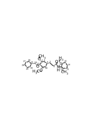 COc1cc(C=CC(=O)Nc2c(C)cccc2C)cc(OC)c1OCc1ccccc1